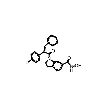 O=C(NO)c1ccc2c(c1)N(C(=O)/C(=C\c1ccccc1)c1ccc(F)cc1)CC2